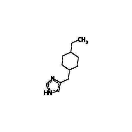 CCC1CCC(Cc2c[nH]cn2)CC1